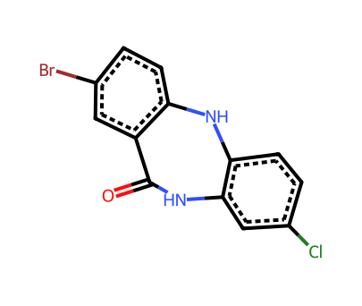 O=C1Nc2cc(Cl)ccc2Nc2ccc(Br)cc21